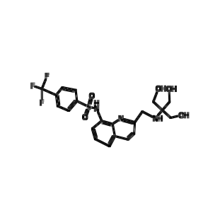 O=S(=O)(Nc1cccc2ccc(CNC(CO)(CO)CO)nc12)c1ccc(C(F)(F)F)cc1